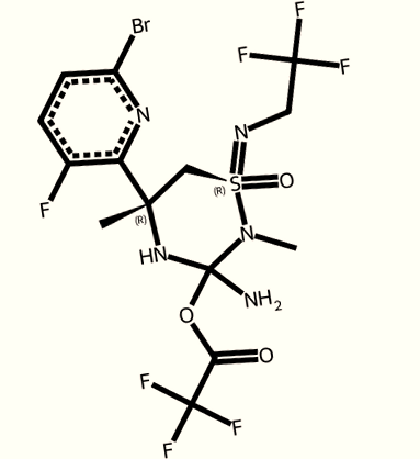 CN1C(N)(OC(=O)C(F)(F)F)N[C@](C)(c2nc(Br)ccc2F)C[S@]1(=O)=NCC(F)(F)F